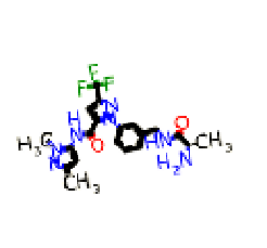 Cc1cc(NC(=O)c2cc(C(F)(F)F)nn2-c2cccc(CNC(=O)[C@H](C)N)c2)n(C)n1